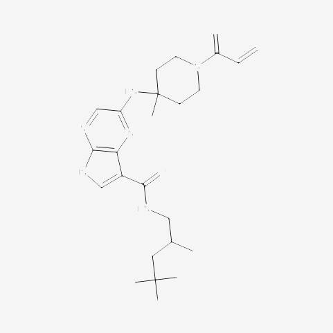 C=CC(=O)N1CCC(C)(Nc2cnc3[nH]cc(C(=O)NCC(C)CC(F)(F)F)c3n2)CC1